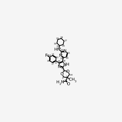 CC1(C(N)=O)COC(c2nc(-c3ccc(F)cc3)c(-c3ccnc(NC4CCCCC4)n3)[nH]2)OC1